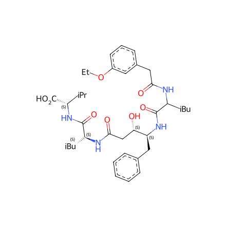 CCOc1cccc(CC(=O)NC(C(=O)N[C@@H](Cc2ccccc2)[C@@H](O)CC(=O)N[C@H](C(=O)N[C@H](C(=O)O)C(C)C)[C@@H](C)CC)C(C)CC)c1